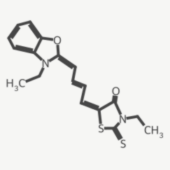 CCN1C(=O)C(=CC=CC=C2Oc3ccccc3N2CC)SC1=S